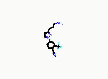 N#Cc1ccc(-n2ccc(CCCN)n2)cc1C(F)(F)F